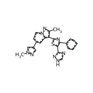 Cc1nn2ccc(-c3cnn(C)c3)cc2c1-c1nc(-c2ccccc2)c(-c2nc[nH]n2)s1